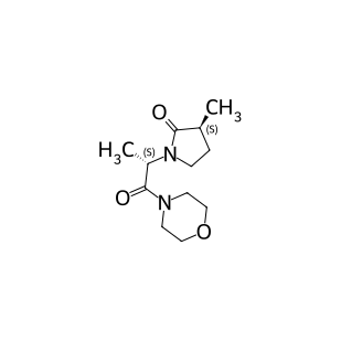 C[C@H]1CCN([C@@H](C)C(=O)N2CCOCC2)C1=O